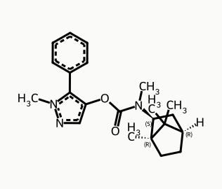 CN(C(=O)Oc1cnn(C)c1-c1ccccc1)[C@H]1C[C@H]2CC[C@]1(C)C2(C)C